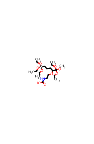 CCOC(OC)(OCC)C(CCC[Si](OCC)(OCC)OCC)OCCNC(=O)O